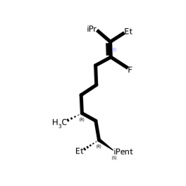 CCC[C@H](C)[C@H](CC)C[C@H](C)CCC/C(F)=C(/CC)C(C)C